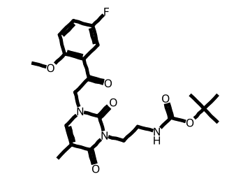 COc1ccc(F)cc1C(=O)Cn1cc(C)c(=O)n(CCNC(=O)OC(C)(C)C)c1=O